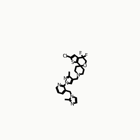 Cc1nn(-c2ncccc2Cn2ccnc2C)cc1CN1CCC2(CC1)OCC(F)(F)c1cc(Cl)sc12